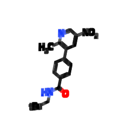 Cc1ncc([N+](=O)[O-])cc1-c1ccc(C(=O)NCC(C)(C)C)cc1